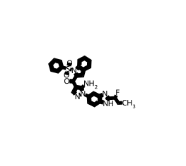 CCC(F)c1nc2cc(-n3ncc(C(=O)c4cc5ccccc5n4S(=O)(=O)c4ccccc4)c3N)ccc2[nH]1